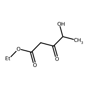 CCOC(=O)CC(=O)C(C)O